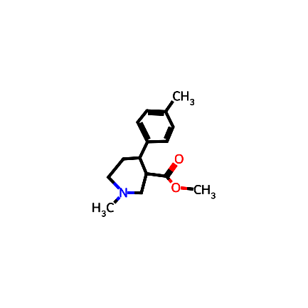 COC(=O)C1CN(C)CCC1c1ccc(C)cc1